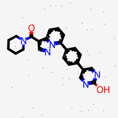 O=C(c1cnn2c(-c3ccc(-c4cnc(O)nc4)cc3)cccc12)N1CCCCC1